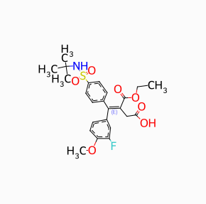 CCOC(=O)/C(CC(=O)O)=C(\c1ccc(S(=O)(=O)NC(C)(C)C)cc1)c1ccc(OC)c(F)c1